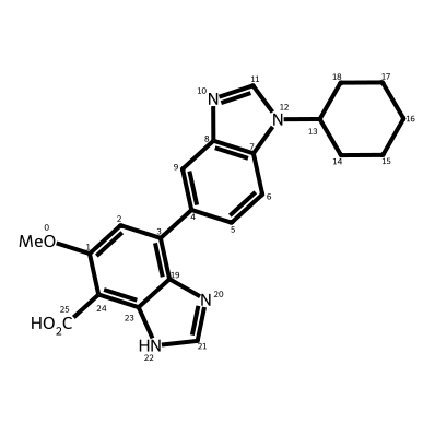 COc1cc(-c2ccc3c(c2)ncn3C2CCCCC2)c2nc[nH]c2c1C(=O)O